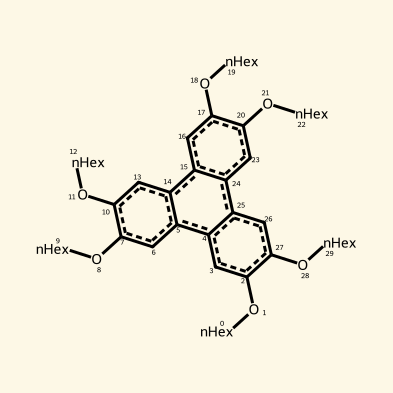 CCCCCCOc1cc2c3cc(OCCCCCC)c(OCCCCCC)cc3c3cc(OCCCCCC)c(OCCCCCC)cc3c2cc1OCCCCCC